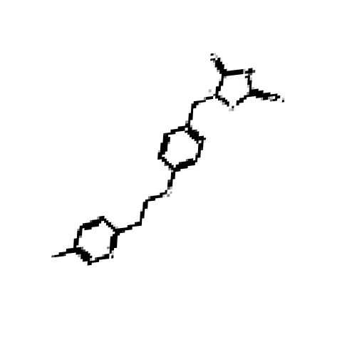 C=C1NC(=O)[C@H](Cc2ccc(OCCc3ccc(CC)cn3)cc2)S1